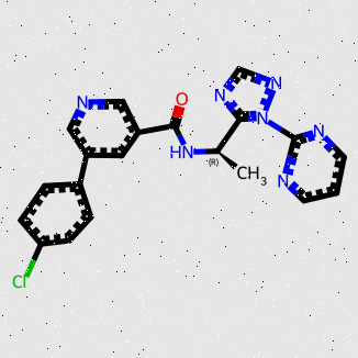 C[C@@H](NC(=O)c1cncc(-c2ccc(Cl)cc2)c1)c1ncnn1-c1ncccn1